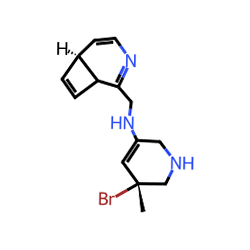 C[C@@]1(Br)C=C(NCC2=NC=C[C@@H]3C=CC23)CNC1